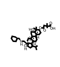 CC(C)C1=C2[C@H]3CC[C@@H]4[C@@]5(C)CC[C@H](OC(=O)CC(C)(C)C(=O)O)C(C)(C)[C@]5(O)CC[C@@]4(C)[C@]3(C)CC[C@@]2([C@H](O)CNCC2CCCCC2)CC1